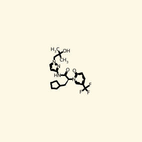 CC(C)(O)Cn1ccc(NC(=O)[C@H](CC2CCCC2)n2cc(C(F)(F)F)ccc2=O)n1